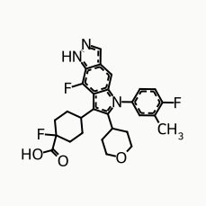 Cc1cc(-n2c(C3CCOCC3)c(C3CCC(F)(C(=O)O)CC3)c3c(F)c4[nH]ncc4cc32)ccc1F